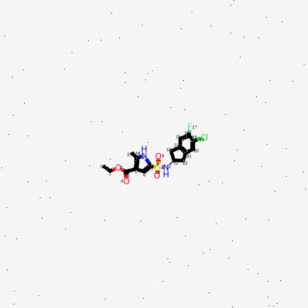 CCOC(=O)c1cc(S(=O)(=O)N[C@@H]2Cc3cc(F)c(Cl)cc3C2)[nH]c1C